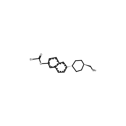 CCC(=O)Oc1ccc2cc([C@H]3CC[C@H](CC(C)CC)CC3)ccc2c1